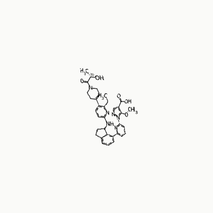 CCc1nc(NC2CCc3cccc(-c4cccc(-n5ncc(C(=O)O)c5OC)n4)c32)ccc1C1=CCN(C(=O)[C@H](C)O)CC1